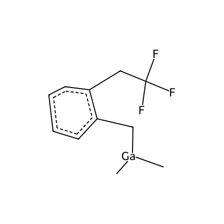 [CH3][Ga]([CH3])[CH2]c1ccccc1CC(F)(F)F